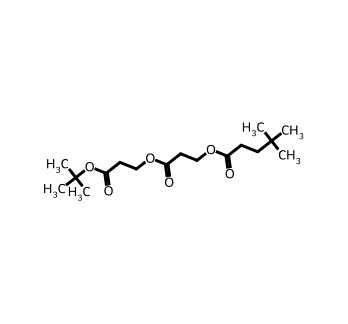 CC(C)(C)CCC(=O)OCCC(=O)OCCC(=O)OC(C)(C)C